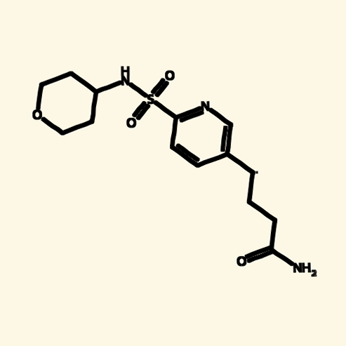 NC(=O)CC[CH]c1ccc(S(=O)(=O)NC2CCOCC2)nc1